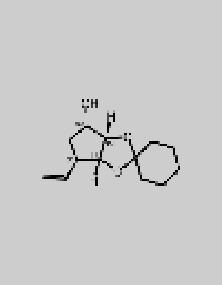 C=C[C@H]1C[C@H](O)[C@@H]2OC3(CCCCC3)O[C@@H]21